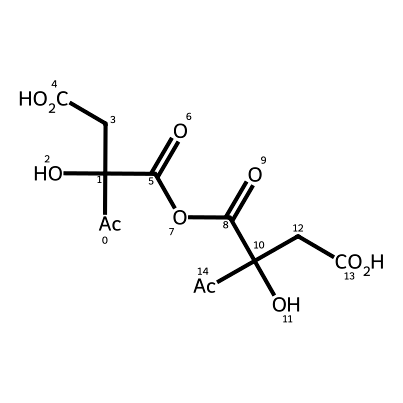 CC(=O)C(O)(CC(=O)O)C(=O)OC(=O)C(O)(CC(=O)O)C(C)=O